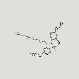 COCOc1ccc(C2(C)CSc3cc(OCOC)ccc3C2CCCCCCOCCO)cc1